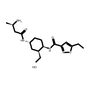 CCc1cc(C(=O)N[C@@H]2CC[C@@H](NC(=O)C[C@@H](C)N)C[C@@H]2CC)no1.Cl